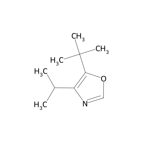 CC(C)c1ncoc1C(C)(C)C